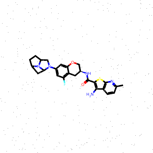 Cc1ccc2c(N)c(C(=O)N[C@@H]3COc4cc(N5CC6CCC7CC5N76)cc(F)c4C3)sc2n1